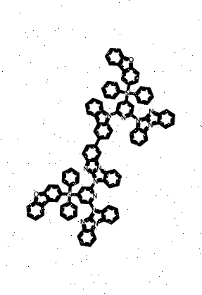 c1ccc([Si](c2ccccc2)(c2cc(-n3c4ccccc4c4cc(-c5ccc6nc7n(-c8cc([Si](c9ccccc9)(c9ccccc9)c9ccc%10oc%11ccccc%11c%10c9)cc(-n9c%10ccccc%10n%10c%11ccccc%11nc9%10)n8)c8ccccc8n7c6c5)ccc43)nc(-n3c4ccccc4n4c5ccccc5nc34)c2)c2ccc3oc4ccccc4c3c2)cc1